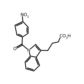 O=C(O)CCCc1cn(C(=O)c2ccc([N+](=O)[O-])cc2)c2ccccc12